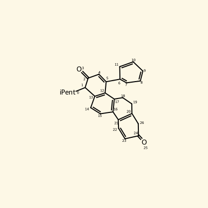 CCCC(C)C1C(=O)C=C(c2ccccc2)c2c1ccc1c2CCC2=C1C=CC(=O)C2